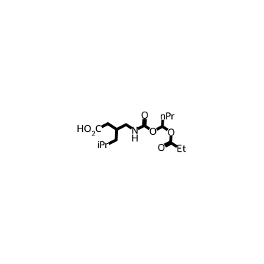 CCCC(OC(=O)CC)OC(=O)NCC(CC(=O)O)CC(C)C